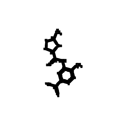 Cc1ccc([N+](=O)[O-])cc1NC(=O)C1CCC(C)O1